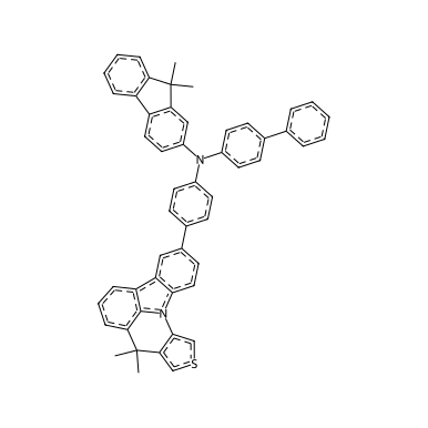 CC1(C)c2ccccc2-c2ccc(N(c3ccc(-c4ccccc4)cc3)c3ccc(-c4ccc5c(c4)c4cccc6c4n5-c4cscc4C6(C)C)cc3)cc21